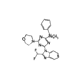 CN(c1ccccc1)c1nc(N2CCOCC2)nc(-n2c(C(F)F)nc3ccccc32)n1